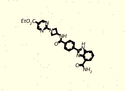 CCOC(=O)c1cnc(N2CC(NC(=O)c3ccc(-c4nc5c(C(N)=O)cccc5[nH]4)cc3)C2)nc1